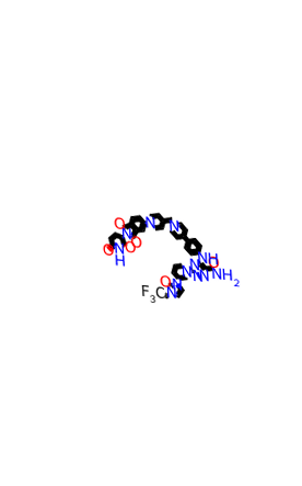 NC(=O)c1nnc(N2CCCC(N3CCN(CC(F)(F)F)C3=O)C2)nc1Nc1ccc(C2CCN(CC3CCN(c4ccc5c(c4)C(=O)N(C4CCC(=O)NC4=O)C5=O)CC3)CC2)cc1